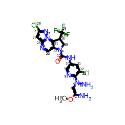 CO/C(N)=C/N(N)c1ncc(NC(=O)N2CC(C(F)(F)F)c3c2cnc2cc(Cl)nn32)cc1Cl